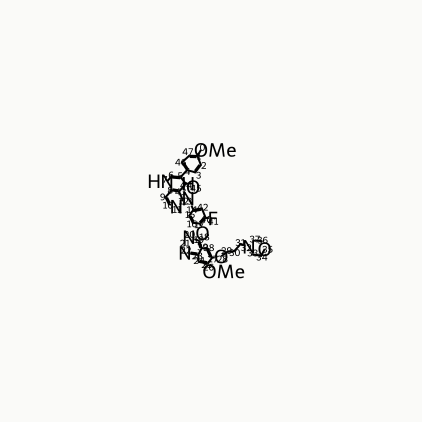 COc1ccc(-c2c[nH]c3ccnc(Nc4ccc(Oc5ncnc6cc(OC)c(OCCCN7CCOCC7)cc56)c(F)c4)c3c2=O)cc1